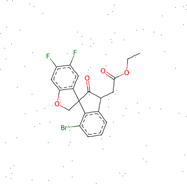 CCOC(=O)CC1C(=O)C2(COc3cc(F)c(F)cc32)c2c(Br)cccc21